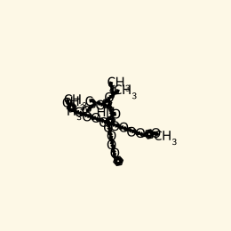 CCCCC(CC)COc1cc(CNC(=O)c2cc(OCCOCCOCCOCc3ccc(OC)cc3)c(OCCOCCOCCOCc3ccccc3)c(OCCOCCOCCOCc3ccc(OC)cc3)c2)cc(OC[C@H](CC)CCCC)c1